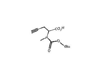 C#CCC(C(=O)O)N(C)C(=O)OC(C)(C)C